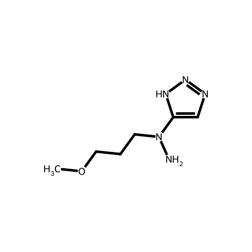 COCCCN(N)c1cnn[nH]1